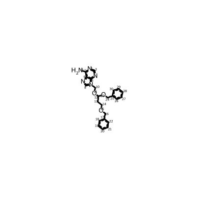 Nc1ncnc2c1ncn2COC(CCOCc1ccccc1)OCc1ccccc1